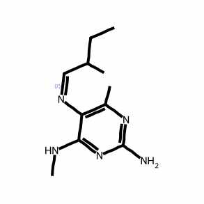 CCC(C)/C=N\c1c(C)nc(N)nc1NC